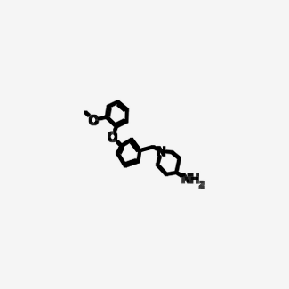 COc1ccccc1Oc1cccc(CN2CCC(N)CC2)c1